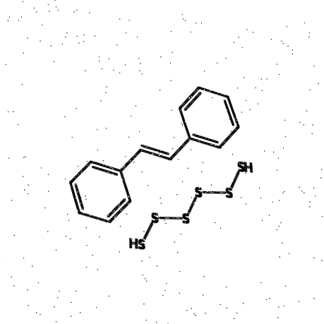 C(=C\c1ccccc1)/c1ccccc1.SSSSSS